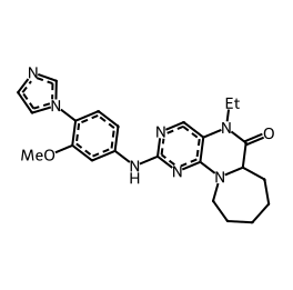 CCN1C(=O)C2CCCCCN2c2nc(Nc3ccc(-n4ccnc4)c(OC)c3)ncc21